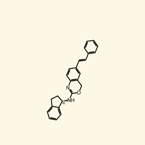 C(=Cc1ccc2c(c1)COC(N[C@@H]1CCc3ccccc31)=N2)c1ccccc1